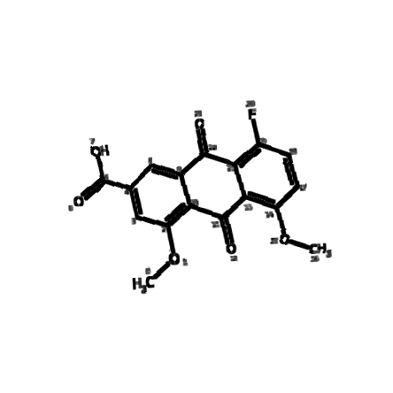 COc1cc(C(=O)O)cc2c1C(=O)c1c(OC)ccc(F)c1C2=O